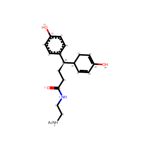 CC(=O)NCCNC(=O)CC[C@@H](c1ccc(O)cc1)C1C=CC(O)=CC1